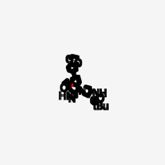 CC(C)(C)OC(=O)NC1CCN(C(c2ccc(-c3ccc4c(c3)OCCO4)cc2)c2cn[nH]c2-c2ccco2)CC1